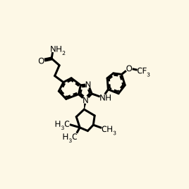 CC1C[C@H](n2c(Nc3ccc(OC(F)(F)F)cc3)nc3cc(CCC(N)=O)ccc32)CC(C)(C)C1